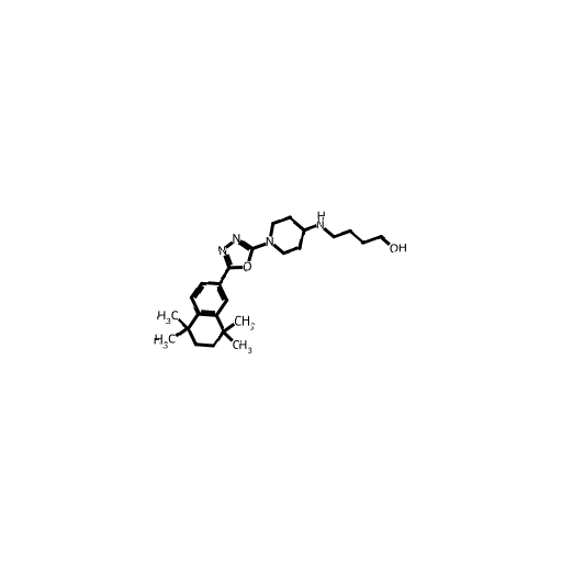 CC1(C)CCC(C)(C)c2cc(-c3nnc(N4CCC(NCCCCO)CC4)o3)ccc21